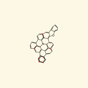 c1ccc(-c2ccccc2-c2c(-c3ccccc3)cccc2N(c2ccccc2-c2ccccc2)c2ccccc2-c2cccc3c2oc2ccccc23)cc1